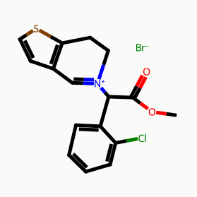 COC(=O)C(c1ccccc1Cl)[N+]1=Cc2ccsc2CC1.[Br-]